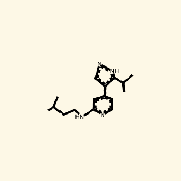 CC(C)CCNc1cc(-c2cn[nH]c2C(C)C)ccn1